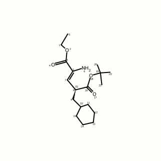 CCOC(=O)C(N)=C[C@H](CC1CCCCC1)C(=O)OC(C)(C)C